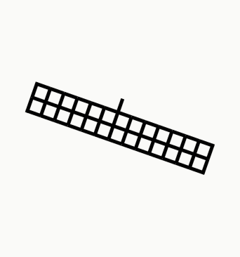 CC12C3C4C5C6C7CC8CC9C%10C%11C%12C%13C%14C%15C%16C%17C%18C%19C%20CC%21CC%22C%23C%24C%25C%26C1C%15(C%16%26C%17%25C%18%24C%19%23C%21%20%22)C%142C%133C%124C%115C%106C897